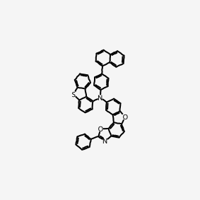 c1ccc(-c2nc3ccc4oc5ccc(N(c6ccc(-c7cccc8ccccc78)cc6)c6cccc7sc8ccccc8c67)cc5c4c3o2)cc1